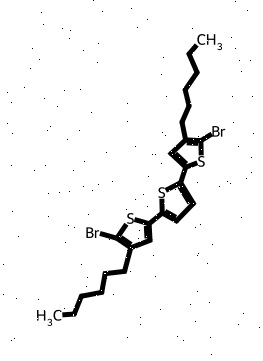 CCCCCCc1cc(-c2ccc(-c3cc(CCCCCC)c(Br)s3)s2)sc1Br